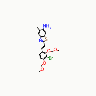 COCOc1ccc(/C=C/c2nc3cc(C)c(N)cc3s2)c(OCOC)c1Br